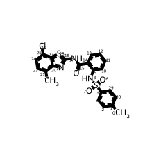 Cc1ccc(S(=O)(=O)Nc2ccccc2C(=O)Nc2nc3c(C)ccc(Cl)c3s2)cc1